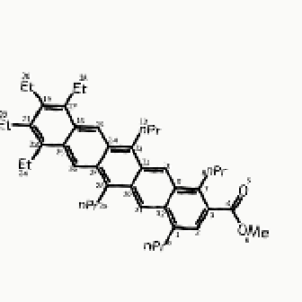 CCCc1cc(C(=O)OC)c(CCC)c2cc3c(CCC)c4cc5c(CC)c(CC)c(CC)c(CC)c5cc4c(CCC)c3cc12